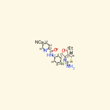 CC[C@H]1OC[C@]2(c3cc(NC(=O)c4ccc(C#N)cn4)ccc3F)N=C(N)SC[C@H]12